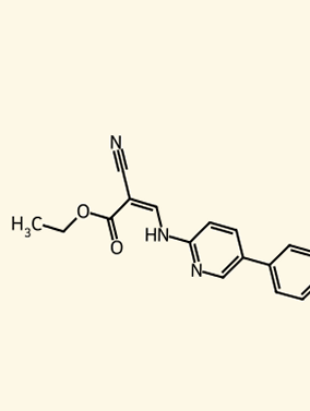 CCOC(=O)C(C#N)=CNc1ccc(-c2ccccc2)cn1